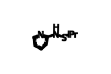 CC(C)SNc1ccccn1